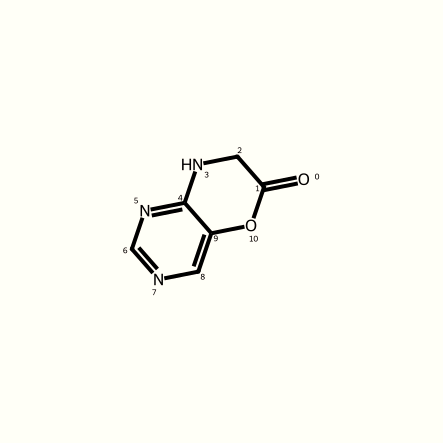 O=C1CNc2ncncc2O1